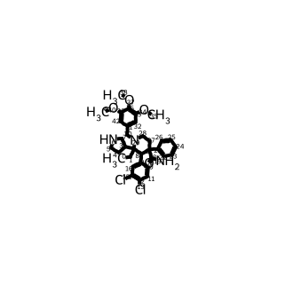 CCC1(C2CCNC2)C(c2ccc(Cl)c(Cl)c2)C(C(N)=O)(c2ccccc2)CCN1Cc1cc(OC)c(OC)c(OC)c1